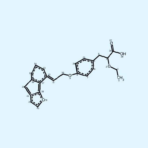 CCOC(Cc1ccc(OCC=c2cccc3c2=c2occc2=C3)cc1)C(=O)O